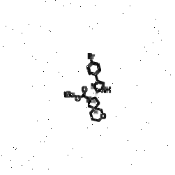 CC(C)(C)OC(=O)N1C[C@@]2(CCCOC2)C[C@H]1c1nc(-c2ccc(Br)cc2)c[nH]1